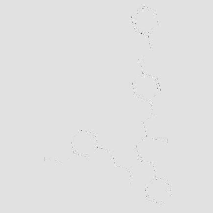 COc1cccc(OCC(C)N(Cc2ccccc2)CC(O)COc2ccc(OCc3ccccc3)cc2)c1